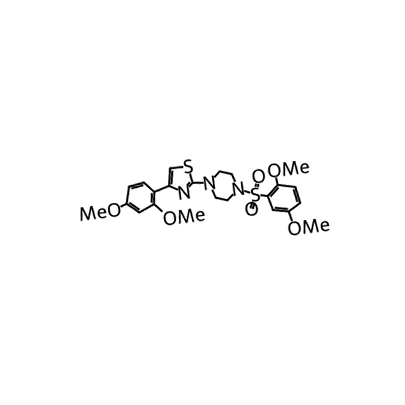 COc1ccc(-c2csc(N3CCN(S(=O)(=O)c4cc(OC)ccc4OC)CC3)n2)c(OC)c1